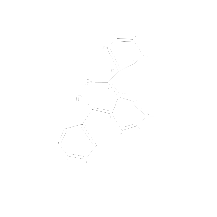 CC(C)C(c1ccccc1)=c1ccccc1=C(c1ccccc1)C(C)C